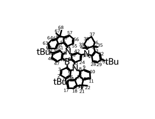 CC(C)(C)c1ccc2c(c1)N(c1cccc3c1-c1ccccc1C3(C)C)c1cc(N3c4ccc(C(C)(C)C)cc4C4(C)CCCCC34C)cc3c1B2c1ccc(C(C)(C)C)cc1N3c1cccc2c1-c1ccccc1C2(C)C